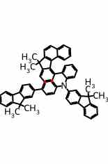 CC1(C)c2ccccc2-c2ccc(-c3ccc(N(c4ccc5c(c4)C(C)(C)c4ccccc4-5)c4ccccc4-c4cccc5c4-c4c(ccc6ccccc46)C5(C)C)cc3)cc21